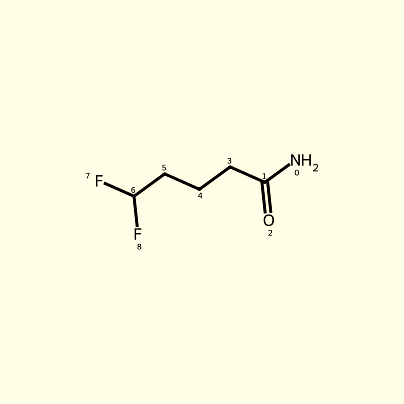 NC(=O)CCCC(F)F